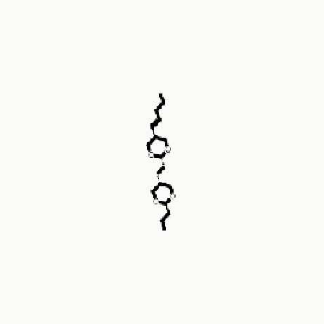 CCCC=C[C@H]1CO[C@H](CC[C@H]2CO[C@H](CCC)OC2)OC1